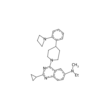 CCN(C)c1ccc2nc(C3CC3)nc(N3CCC(c4ccccc4N4CCC4)CC3)c2c1